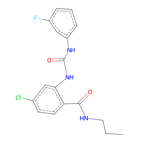 CCCNC(=O)c1ccc(Cl)cc1NC(=O)Nc1cccc(F)c1